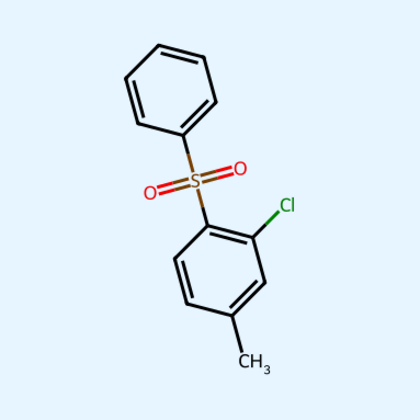 Cc1ccc(S(=O)(=O)c2ccccc2)c(Cl)c1